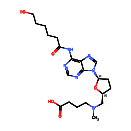 CN(CCCC(=O)O)C[C@@H]1CC[C@H](n2cnc3c(NC(=O)CCCCCO)ncnc32)O1